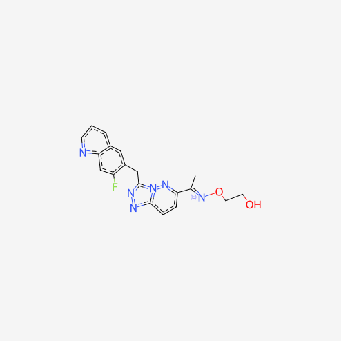 C/C(=N\OCCO)c1ccc2nnc(Cc3cc4cccnc4cc3F)n2n1